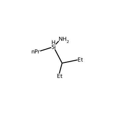 CCC[SiH](N)C(CC)CC